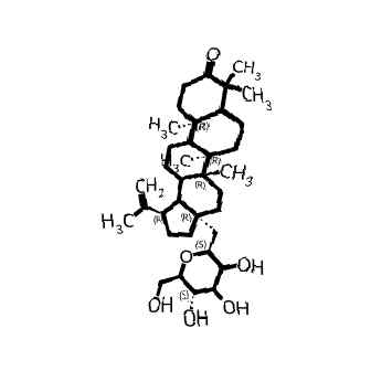 C=C(C)[C@@H]1CC[C@]2(C[C@@H]3OC(CO)[C@@H](O)C(O)C3O)CC[C@]3(C)C(CCC4[C@@]5(C)CCC(=O)C(C)(C)C5CC[C@]43C)C12